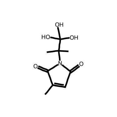 CC1=CC(=O)N(C(C)(C)C(O)(O)O)C1=O